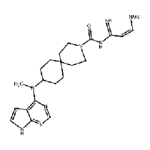 CN/C=C\C(=N)NC(=O)N1CCC2(CCC(N(C)c3ncnc4[nH]ccc34)CC2)CC1